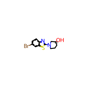 O[C@@H]1CCCN(c2nc3ccc(Br)cc3s2)C1